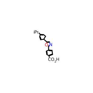 CC(C)C1=CCC(c2cnc(-c3ccc(C(=O)O)cc3)o2)C=C1